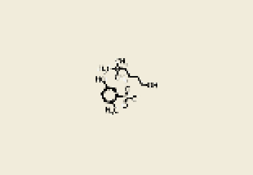 C[N+](C)(C)CCCCO.Cc1ccc(O)cc1S(=O)(=O)[O-]